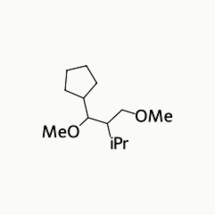 COCC(C(C)C)C(OC)C1CCCC1